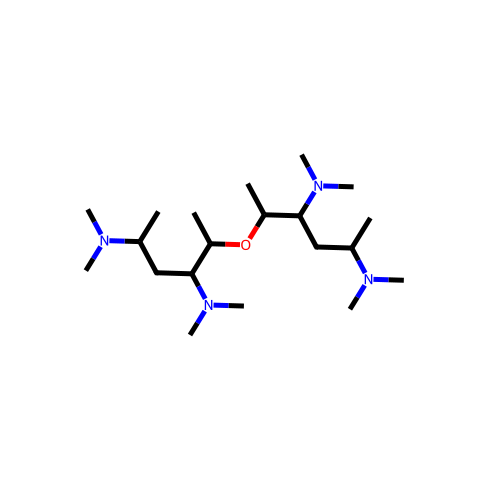 CC(OC(C)C(CC(C)N(C)C)N(C)C)C(CC(C)N(C)C)N(C)C